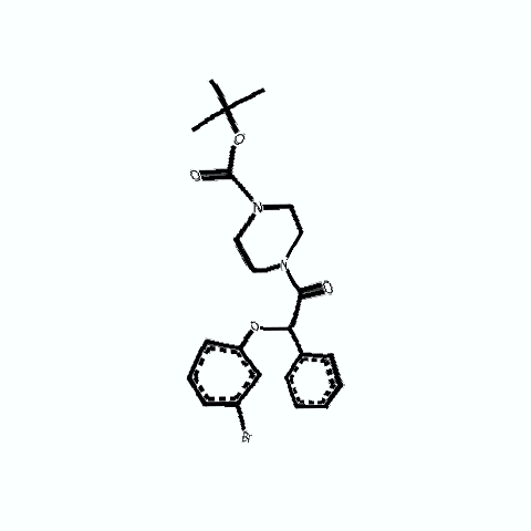 CC(C)(C)OC(=O)N1CCN(C(=O)C(Oc2cccc(Br)c2)c2ccccc2)CC1